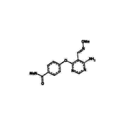 CNC(=O)c1ccc(Oc2ncnc(N)c2C=NOC)cc1